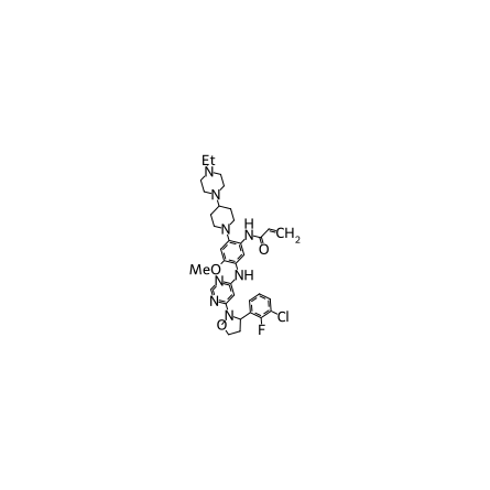 C=CC(=O)Nc1cc(Nc2cc(N3OCCC3c3cccc(Cl)c3F)ncn2)c(OC)cc1N1CCC(N2CCN(CC)CC2)CC1